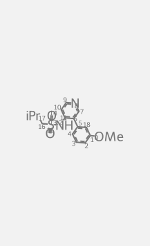 COc1cccc(-c2cnccc2NS(=O)(=O)CC(C)C)c1